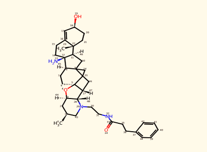 C[C@H]1C[C@H]2O[C@@]34CC[C@@H]5C6(C[C@H]7[C@@]5(N)CCC5=C[C@@H](O)CC[C@@]57C)CC63C[C@@H]4[C@@H]2N(CCNC(=O)CCc2ccccc2)C1